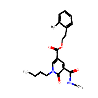 CCCCn1cc(C(=O)OCCc2ccccc2C)cc(C(=O)NC)c1=O